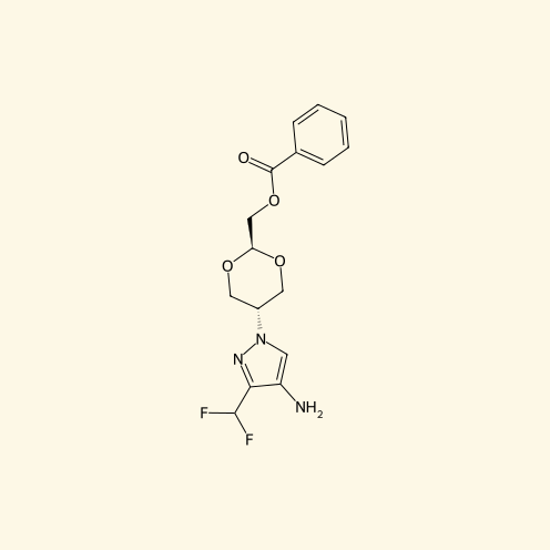 Nc1cn([C@H]2CO[C@H](COC(=O)c3ccccc3)OC2)nc1C(F)F